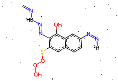 [2H]/N=N\c1ccc2cc(SOOO)c(N=NBN=C)c(O)c2c1